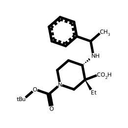 CC[C@@]1(C(=O)O)CN(C(=O)OC(C)(C)C)CC[C@@H]1NC(C)c1ccccc1